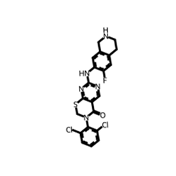 O=C1c2cnc(Nc3cc4c(cc3F)CCNC4)nc2SCN1c1c(Cl)cccc1Cl